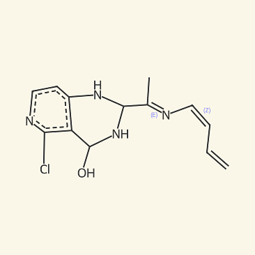 C=C/C=C\N=C(/C)C1Nc2ccnc(Cl)c2C(O)N1